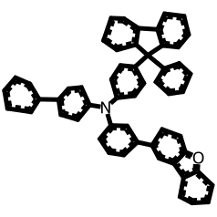 c1ccc(-c2ccc(N(c3ccc(C4(c5ccccc5)c5ccccc5-c5ccccc54)cc3)c3cccc(-c4ccc5oc6ccccc6c5c4)c3)cc2)cc1